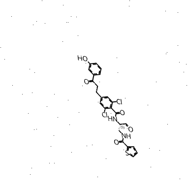 O=C[C@H](CNC(=O)c1cccs1)NC(=O)c1c(Cl)cc(CCC(=O)c2cccc(O)c2)cc1Cl